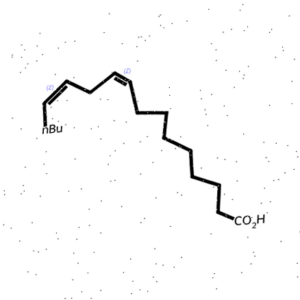 CCCC/C=C\C/C=C\CCCCCCCC(=O)O